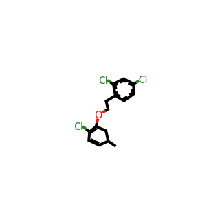 CC1C=CC(Cl)=C(OCCc2ccc(Cl)cc2Cl)C1